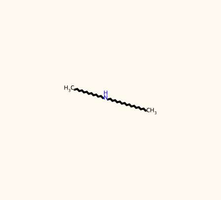 CCCCCCCCCCCCCCCCCCNCCCCCCCCCCCCCC